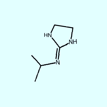 CC(C)N=C1NCCN1